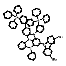 CC(C)(C)c1ccc2c(c1)c1cc(C(C)(C)C)ccc1n2-c1cc2c3c(c1)N(c1cccc([Si](c4ccccc4)(c4ccccc4)c4ccccc4)c1)c1cc(-c4cccc([Si](c5ccccc5)(c5ccccc5)c5ccccc5)c4)ccc1B3c1ccccc1N2c1ccccc1